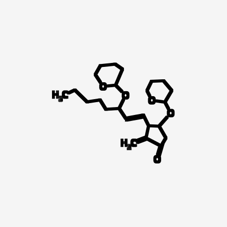 C=C1C(=O)CC(OC2CCCCO2)C1C=CC(CCCCC)OC1CCCCO1